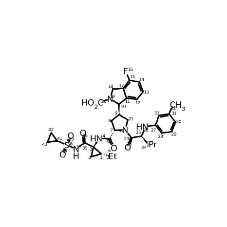 CC[C@@H]1C[C@]1(NC(=O)[C@@H]1C[C@@H](C2c3cccc(F)c3CN2C(=O)O)CN1C(=O)[C@@H](Nc1cccc(C)c1)C(C)C)C(=O)NS(=O)(=O)C1CC1